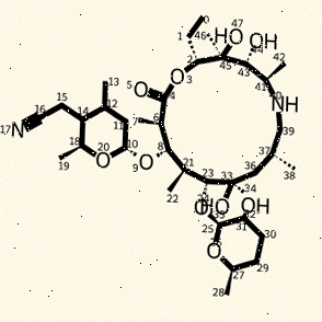 CC[C@H]1OC(=O)[C@H](C)[C@@H](O[C@H]2CC(C)C(CC#N)[C@H](C)O2)[C@H](C)[C@@H](O[C@@H]2O[C@H](C)CC[C@H]2O)[C@](C)(O)C[C@@H](C)CN[C@H](C)[C@@H](O)[C@]1(C)O